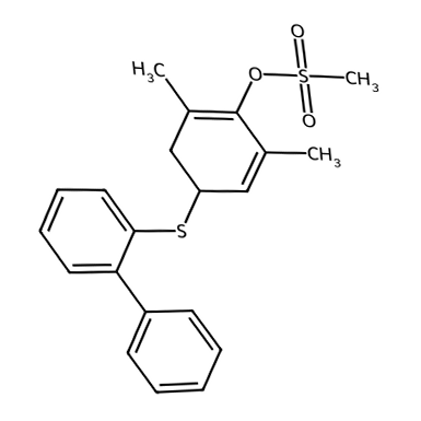 CC1=CC(Sc2ccccc2-c2ccccc2)CC(C)=C1OS(C)(=O)=O